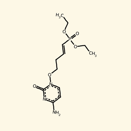 CCOP(=O)(C=CCCOn1ccc(N)nc1=O)OCC